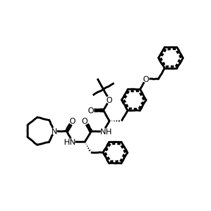 CC(C)(C)OC(=O)[C@H](Cc1ccc(OCc2ccccc2)cc1)NC(=O)[C@H](Cc1ccccc1)NC(=O)N1CCCCCC1